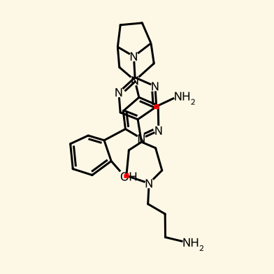 NCCCN1CCC(c2cnc(N3C4CCC3CN(c3cc(-c5ccccc5O)nnc3N)C4)nc2)CC1